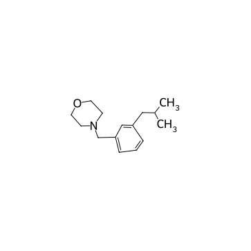 CC(C)Cc1cccc(CN2CCOCC2)c1